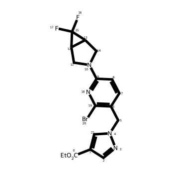 CCOC(=O)c1cnn(Cc2ccc(N3CC4C(C3)C4(F)F)nc2Br)c1